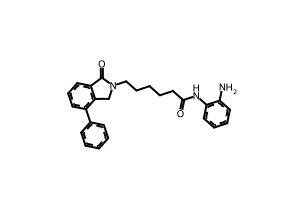 Nc1ccccc1NC(=O)CCCCCN1Cc2c(cccc2-c2ccccc2)C1=O